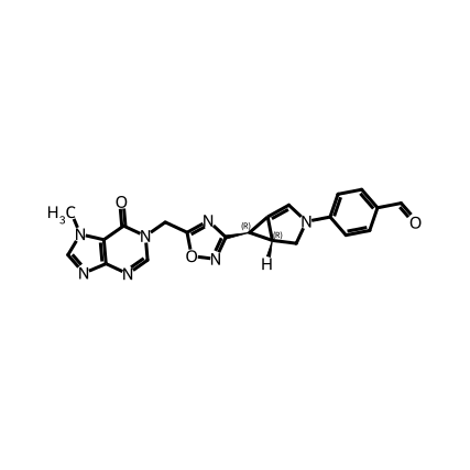 Cn1cnc2ncn(Cc3nc([C@H]4C5=CN(c6ccc(C=O)cc6)C[C@@H]54)no3)c(=O)c21